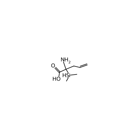 C=CCC(N)(C(=O)O)[SiH](C)C